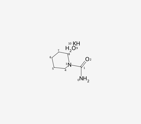 NC(=O)N1CCCCC1.O.[KH]